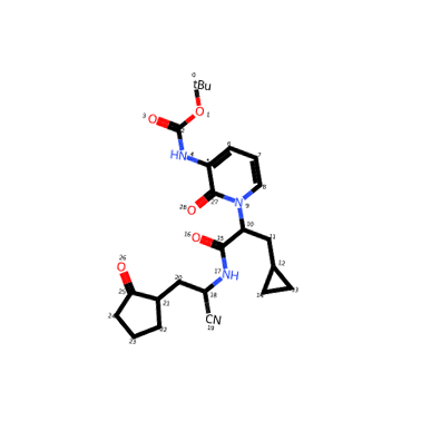 CC(C)(C)OC(=O)Nc1cccn(C(CC2CC2)C(=O)NC(C#N)CC2CCCC2=O)c1=O